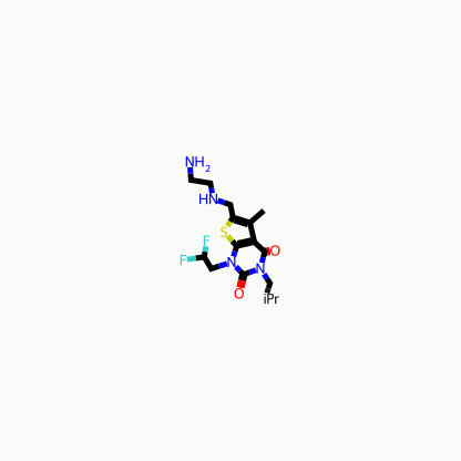 Cc1c(CNCCN)sc2c1c(=O)n(CC(C)C)c(=O)n2CC(F)F